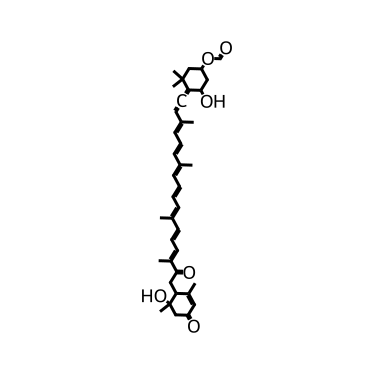 CC1=CC(=O)CC(C)(O)C1CC(=O)/C(C)=C/C=C/C(C)=C/C=C/C=C(C)/C=C/C=C(\C)C=C=C1C(O)CC(OC=O)CC1(C)C